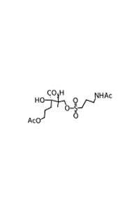 CC(=O)NCCCS(=O)(=O)OCC(C)(C)[C@](O)(CCCOC(C)=O)C(=O)O